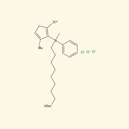 CCCCCCCCCCCCCCCCCC[Si](C)(C1=[C]([Ti+3])CC=C1C(C)CC)c1ccccc1.[Cl-].[Cl-].[Cl-]